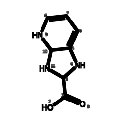 O=C(O)C1NC2=CC=CNC2N1